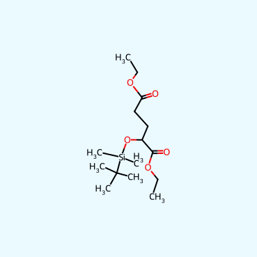 CCOC(=O)CCC(O[Si](C)(C)C(C)(C)C)C(=O)OCC